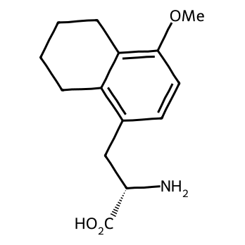 COc1ccc(C[C@H](N)C(=O)O)c2c1CCCC2